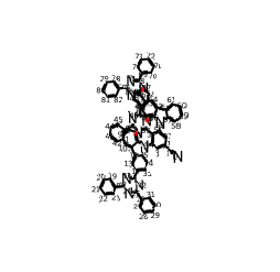 N#Cc1cc(-n2c3ccccc3c3cc(-c4nc(-c5ccccc5)nc(-c5ccccc5)n4)ccc32)c(-c2nc(-c3ccccc3)nc(-c3ccccc3)n2)c(-n2c3ccccc3c3cc(-c4nc(-c5ccccc5)nc(-c5ccccc5)n4)ccc32)c1